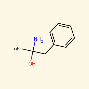 CCCC(N)(O)Cc1ccccc1